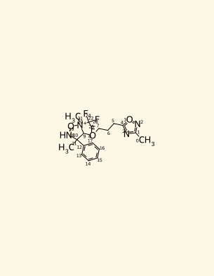 Cc1noc(CCCOC2C(C)(c3ccccc3)NO[N+]2(C)C(F)(F)F)n1